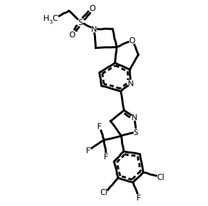 CCS(=O)(=O)N1CC2(C1)OCc1nc(C3=NSC(c4cc(Cl)c(F)c(Cl)c4)(C(F)(F)F)C3)ccc12